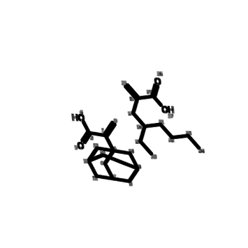 C=C(C(=O)O)C12CC3CC(CC(C3)C1)C2.C=C(CC(CC)CCCC)C(=O)O